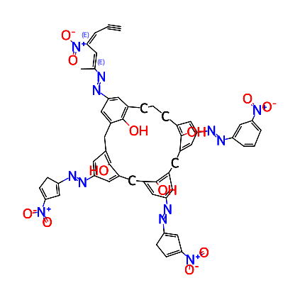 C#C/C=C(\C=C(/C)N=Nc1cc2c(O)c(c1)Cc1cc(N=NC3=CC([N+](=O)[O-])=CC3)cc(c1O)Cc1cc(N=NC3=CC([N+](=O)[O-])=CC3)cc(c1O)Cc1cc(N=Nc3cccc([N+](=O)[O-])c3)cc(c1O)CCC2)[N+](=O)[O-]